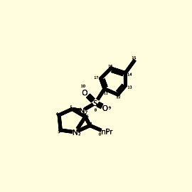 CCCC1N2CCC(C2)N1S(=O)(=O)c1ccc(C)cc1